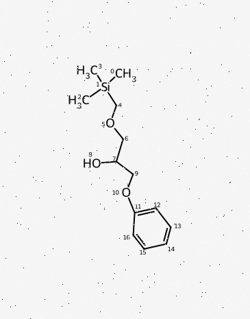 C[Si](C)(C)COCC(O)COc1ccccc1